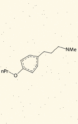 CCCOc1ccc(CCCNC)cc1